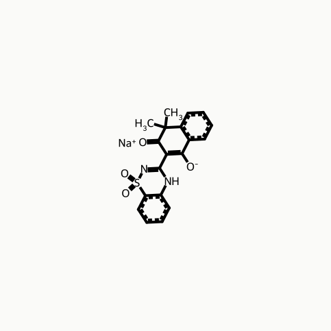 CC1(C)C(=O)C(C2=NS(=O)(=O)c3ccccc3N2)=C([O-])c2ccccc21.[Na+]